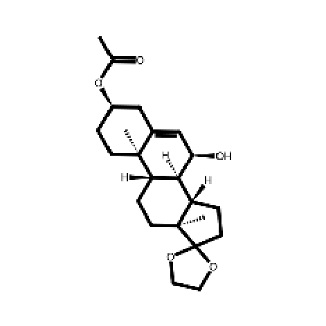 CC(=O)O[C@@H]1CC[C@@]2(C)C(=C[C@@H](O)[C@@H]3[C@@H]2CC[C@@]2(C)[C@H]3CCC23OCCO3)C1